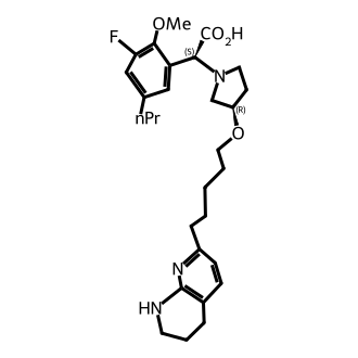 CCCc1cc(F)c(OC)c([C@@H](C(=O)O)N2CC[C@@H](OCCCCCc3ccc4c(n3)NCCC4)C2)c1